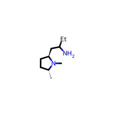 CCC(N)C[C@@H]1CC[C@@H](C)N1C